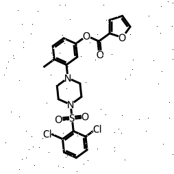 Cc1ccc(OC(=O)c2ccco2)cc1N1CCN(S(=O)(=O)c2c(Cl)cccc2Cl)CC1